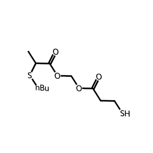 CCCCSC(C)C(=O)OCOC(=O)CCS